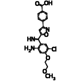 COCCOc1cc(N)c(C(=N)c2cc(-c3ccc(C(=O)O)cc3)no2)cc1Cl